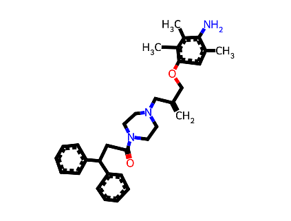 C=C(COc1cc(C)c(N)c(C)c1C)CN1CCN(C(=O)CC(c2ccccc2)c2ccccc2)CC1